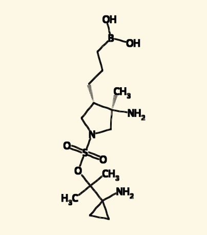 CC(C)(OS(=O)(=O)N1C[C@H](CCCB(O)O)[C@@](C)(N)C1)C1(N)CC1